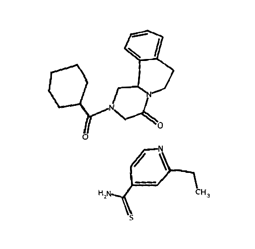 CCc1cc(C(N)=S)ccn1.O=C(C1CCCCC1)N1CC(=O)N2CCc3ccccc3C2C1